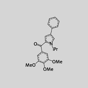 COc1cc(C(=O)c2cc(-c3ccccc3)cn2C(C)C)cc(OC)c1OC